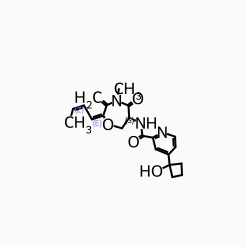 C=C1/C(=C\C=C/C)OC[C@H](NC(=O)c2cc(C3(O)CCC3)ccn2)C(=O)N1C